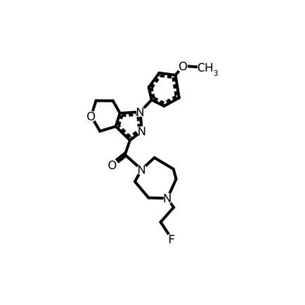 COc1ccc(-n2nc(C(=O)N3CCCN(CCF)CC3)c3c2CCOC3)cc1